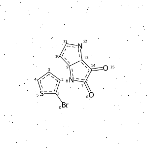 Brc1cccs1.O=c1nc2ccnc-2c1=O